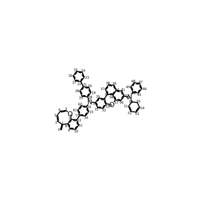 C=C1/C=C\C=C/Oc2c1cccc2-c1ccc(N(c2ccc(-c3ccccc3)cc2)c2ccc3c(c2)-c2cccc4cc(N(c5ccccc5)C5C=CC=CC5)cc(c24)O3)cc1